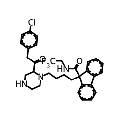 O=C(Cc1ccc(Cl)cc1)C1CNCCN1CCCCC1(C(=O)NCC(F)(F)F)c2ccccc2-c2ccccc21